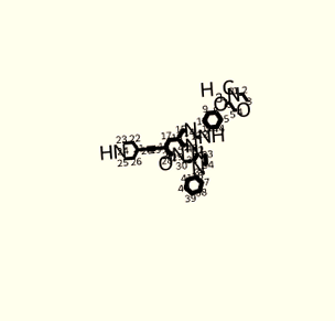 CN1CCOCC1Oc1ccc(Nc2ncc3cc(C#CC4CCNCC4)c(=O)n(Cc4nccn4-c4ccccc4)c3n2)cc1